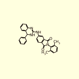 Cc1cccc(C)c1N1C(=O)c2ccc(NC3=Nc4ccccc4C(c4ccccc4)N3)cc2C1=O